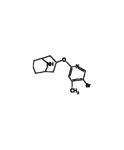 Cc1cc(OC2CC3CCCC(C2)N3)ncc1Br